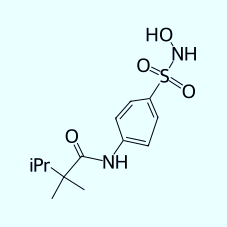 CC(C)C(C)(C)C(=O)Nc1ccc(S(=O)(=O)NO)cc1